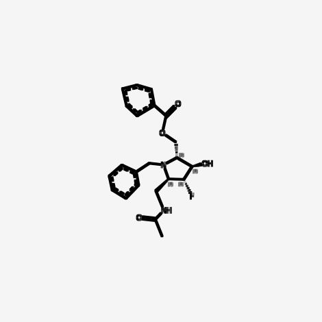 CC(=O)NC[C@@H]1[C@@H](F)[C@H](O)[C@@H](COC(=O)c2ccccc2)N1Cc1ccccc1